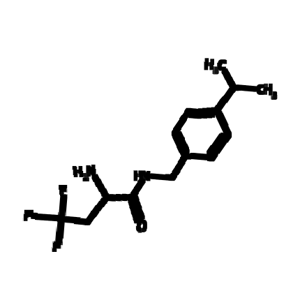 CC(C)c1ccc(CNC(=O)C(N)CC(F)(F)F)cc1